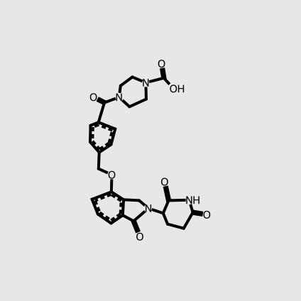 O=C1CCC(N2Cc3c(OCc4ccc(C(=O)N5CCN(C(=O)O)CC5)cc4)cccc3C2=O)C(=O)N1